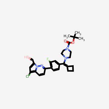 B=Cc1cc(Cl)c2ccc(-c3ccc(C(=C4CCC4)N4CCN(C(=O)OC(C)(C)C)CC4)cc3F)nn12